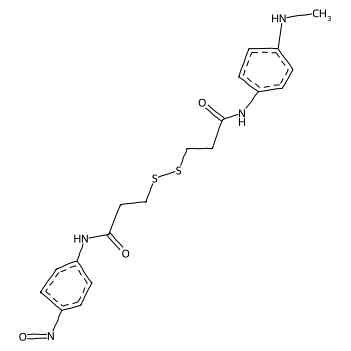 CNc1ccc(NC(=O)CCSSCCC(=O)Nc2ccc(N=O)cc2)cc1